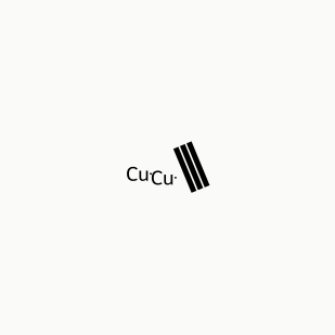 C#C.[Cu].[Cu]